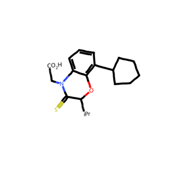 CC(C)C1Oc2c(C3CCCCC3)cccc2N(CC(=O)O)C1=S